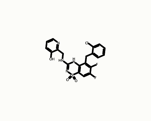 O=S1(=O)N=C(NCc2ncccc2O)Nc2c1cc(F)c(F)c2Cc1ccccc1Cl